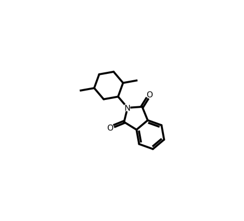 CC1CCC(C)C(N2C(=O)c3ccccc3C2=O)C1